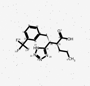 CCC[C@H](C(=O)O)[C@@H](Cc1cccc(C(F)(F)F)c1)c1nnn[nH]1